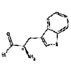 CCC(=O)[C@H](N)Cc1csc2ccccc12